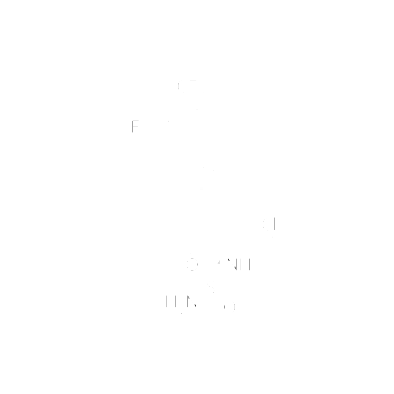 NS(=O)(=O)Nc1ccc(-c2ccc(C(F)(F)F)c(F)c2)cc1Cl